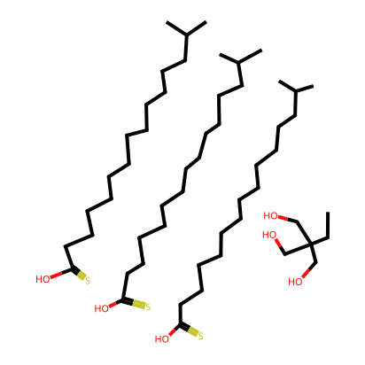 CC(C)CCCCCCCCCCCCC(O)=S.CC(C)CCCCCCCCCCCCC(O)=S.CC(C)CCCCCCCCCCCCC(O)=S.CCC(CO)(CO)CO